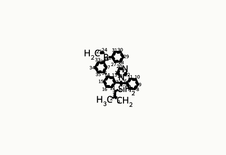 C=C(C)C[SiH2]C(c1ccccc1)(c1ccccc1)n1ccnc1.C=CB(c1ccccc1)c1ccccc1